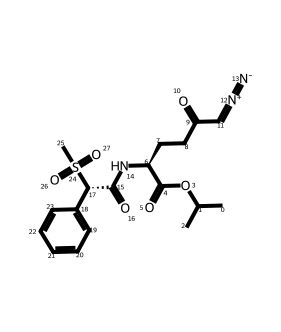 CC(C)OC(=O)[C@H](CCC(=O)C=[N+]=[N-])NC(=O)[C@H](c1ccccc1)S(C)(=O)=O